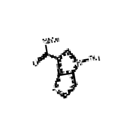 CNC(=O)c1cn(O)c2ccsc12